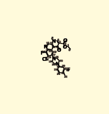 CCOC(=O)c1cn(C)c2cnc3c(F)c(Cl)c(N4CCN(c5ccc(C)c(F)c5)CC4)cc3c2c1=O